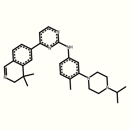 Cc1ccc(Nc2nccc(-c3ccc4c(c3)C(C)(C)CN=C4)n2)cc1N1CCN(C(C)C)CC1